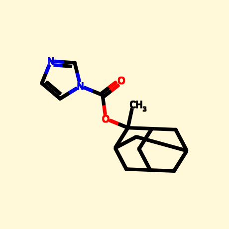 CC1(OC(=O)n2ccnc2)C2CC3CC(C2)CC1C3